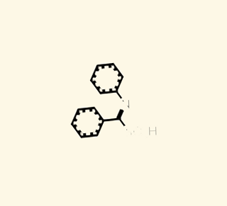 O=S(=O)(O)C(=Nc1ccccc1)c1ccccc1